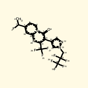 CC(F)c1ccn2c(=O)c(-c3cnn(CC(F)(F)C(F)(F)F)c3)c(C(F)(F)F)nc2c1